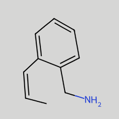 C/C=C\c1ccccc1CN